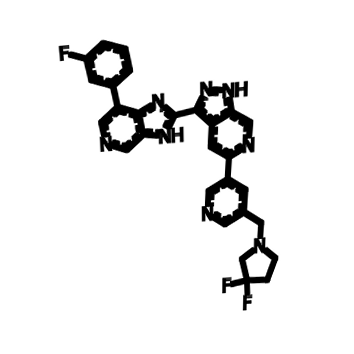 Fc1cccc(-c2cncc3[nH]c(-c4n[nH]c5cnc(-c6cncc(CN7CCC(F)(F)C7)c6)cc45)nc23)c1